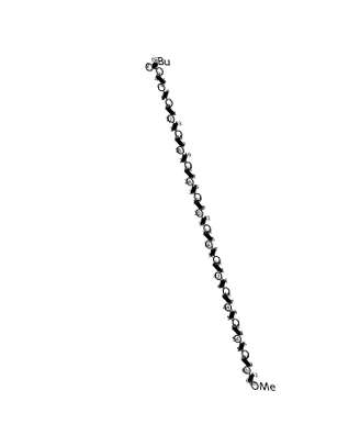 CCC(C)C(=O)OCCOCCOCCOCCOCCOCCOCCOCCOCCOCCOCCOCCOCCOCCOCCOCCOCCOCCOCCOCCOC